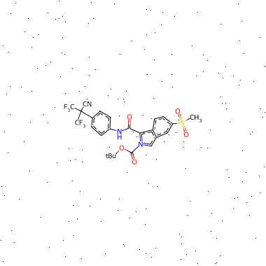 CC(C)(C)OC(=O)n1cc2cc(S(C)(=O)=O)ccc2c1C(=O)Nc1ccc(C(C#N)(C(F)(F)F)C(F)(F)F)cc1